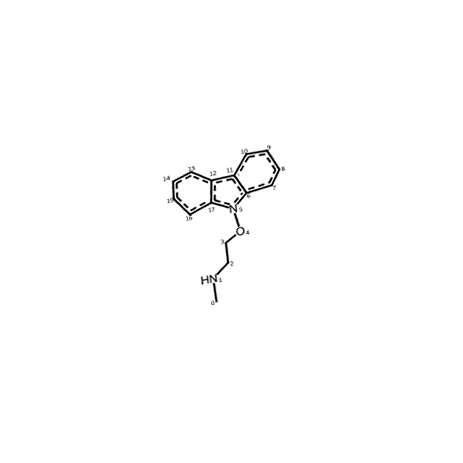 CNCCOn1c2ccccc2c2ccccc21